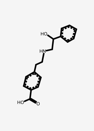 O=C(O)c1ccc(CCNCC(O)c2ccccc2)cc1